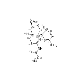 CO[C@H]1CC[C@]2(c3cc(C)ccc3F)N=C(NC(=O)OC(C)(C)C)SC[C@@H]2C1